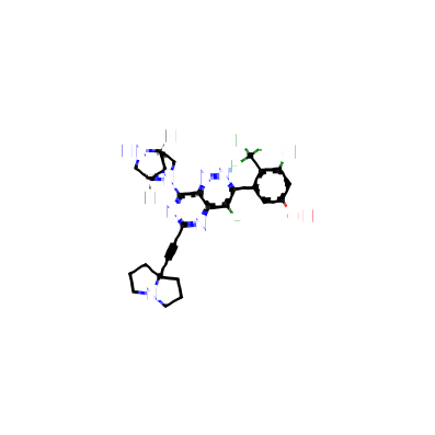 Oc1cc(Cl)c(C(F)(F)F)c(-c2nnc3c(N4C[C@@H]5C[C@H]4CN5)nc(C#CC45CCCN4CCC5)nc3c2F)c1